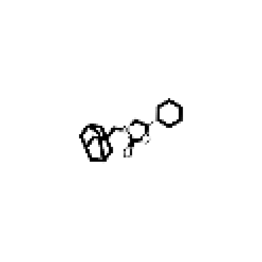 O=C1O[C@@H](C2CCCCC2)CN1CC12CC3CC(CC(C3)C1)C2